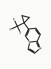 FC(F)(F)C1(c2ccc3nccn3c2)CC1